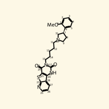 COc1ccccc1[C@H]1CCN(CCCCCn2c(=O)[nH]c3c(sc4ncccc43)c2=O)C1